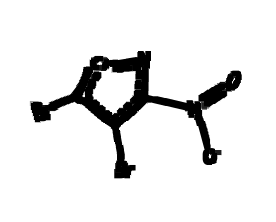 O=[N+]([O-])c1noc(Br)c1Br